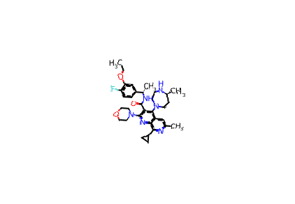 CCOc1cc([C@H](C)NC(=O)c2c(N3CCOCC3)nc3c(C4CC4)nc(C)cc3c2N2CCN[C@@H](C)CC2)ccc1F